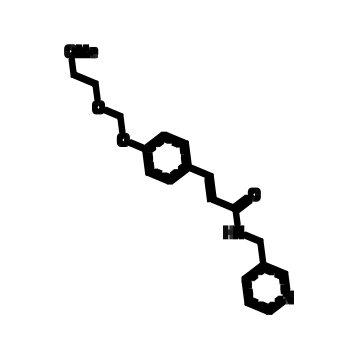 COCCOCOc1ccc(C=CC(=O)NCc2cccnc2)cc1